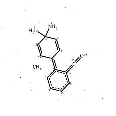 C.NC1(N)C=CC(=c2ccccc2=C=O)C=C1